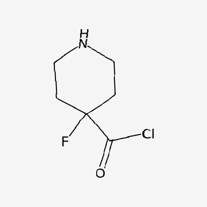 O=C(Cl)C1(F)CCNCC1